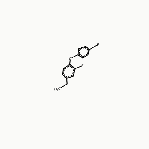 CCc1ccc(Oc2ccc(F)cc2)c(F)c1